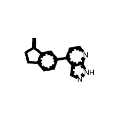 C=C1CCc2ccc(-c3ccnc4[nH]ncc34)cc21